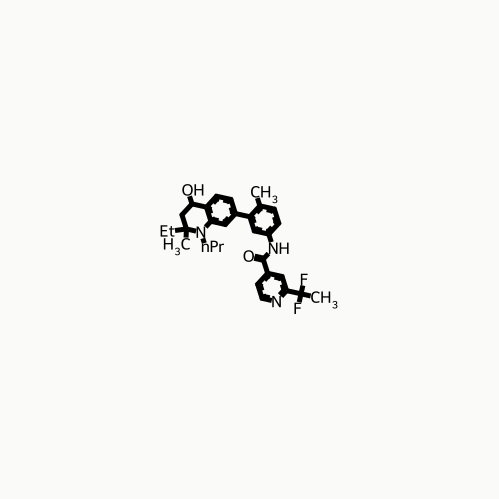 CCCN1c2cc(-c3cc(NC(=O)c4ccnc(C(C)(F)F)c4)ccc3C)ccc2C(O)CC1(C)CC